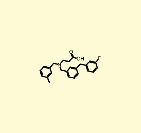 Cc1cccc(CN(CCC(=O)O)Cc2cccc(Cc3cccc(F)c3)c2)c1